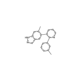 Cc1cccc(-c2ncccc2-c2cc3cn[nH]c3cc2C)c1